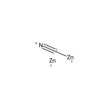 N#[C][Zn].[Zn]